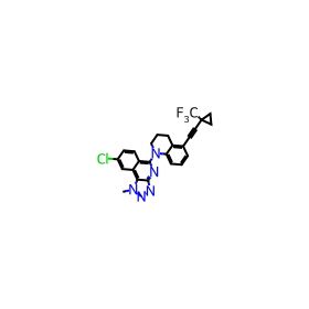 Cn1nnc2nc(N3CCCc4c(C#CC5(C(F)(F)F)CC5)cccc43)c3ccc(Cl)cc3c21